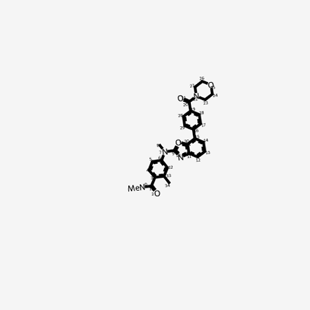 CNC(=O)c1ccc(N(C)c2nc3cccc(-c4ccc(C(=O)N5CCOCC5)cc4)c3o2)cc1C